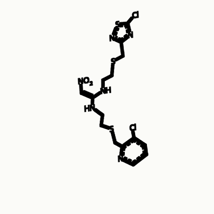 O=[N+]([O-])C=C(NCCSCc1nsc(Cl)n1)NCCSCc1ncccc1Cl